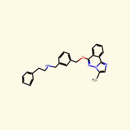 Cc1cnc2c3ccccc3c(OCc3cccc(CNCCc4ccccc4)c3)nn12